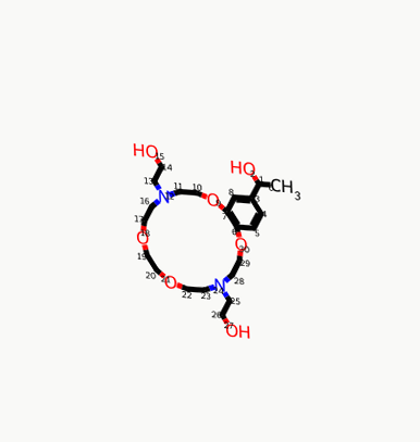 CC(O)c1ccc2c(c1)OCCN(CCO)CCOCCOCCN(CCO)CCO2